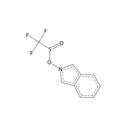 O=S(On1cc2ccccc2c1)C(F)(F)F